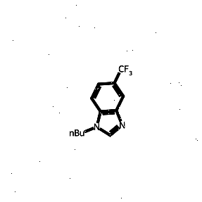 CCCCn1cnc2cc(C(F)(F)F)ccc21